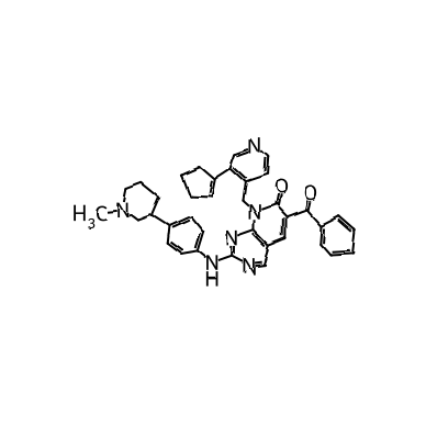 CN1CCCC(c2ccc(Nc3ncc4cc(C(=O)c5ccccc5)c(=O)n(Cc5ccncc5C5=CCCC5)c4n3)cc2)C1